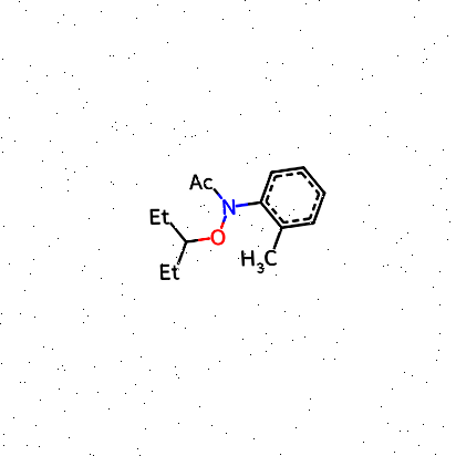 CCC(CC)ON(C(C)=O)c1ccccc1C